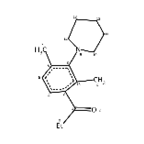 CCC(=O)c1ccc(C)c(N2CCCCC2)c1C